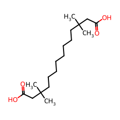 CC(C)(CCCCCCCCC(C)(C)CC(=O)O)CC(=O)O